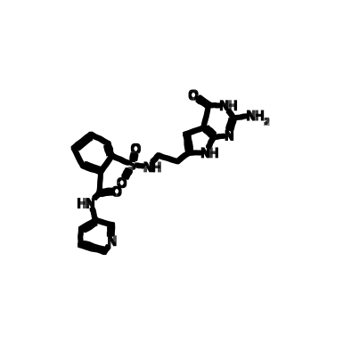 Nc1nc2[nH]c(CCNS(=O)(=O)c3ccccc3C(=O)Nc3cccnc3)cc2c(=O)[nH]1